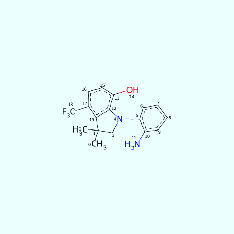 CC1(C)CN(c2ccccc2N)c2c(O)ccc(C(F)(F)F)c21